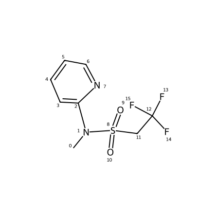 CN(c1ccccn1)S(=O)(=O)CC(F)(F)F